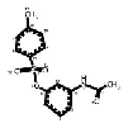 CC(=O)Nc1cccc(OS(=O)(=O)c2ccc(C)cc2)c1